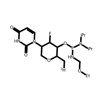 [2H]CC1OCC(n2ccc(=O)[nH]c2=O)C(F)C1OP(NCOCC)N(C(C)C)C(C)C